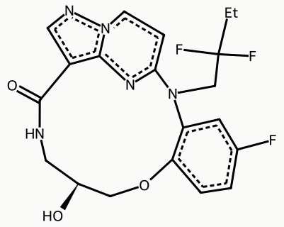 CCC(F)(F)CN1c2ccn3ncc(c3n2)C(=O)NC[C@H](O)COc2ccc(F)cc21